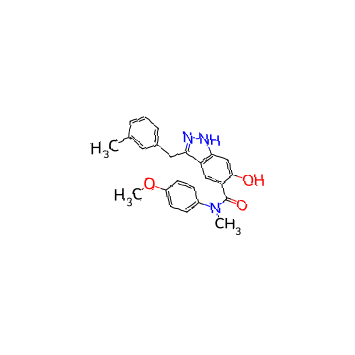 COc1ccc(N(C)C(=O)c2cc3c(Cc4cccc(C)c4)n[nH]c3cc2O)cc1